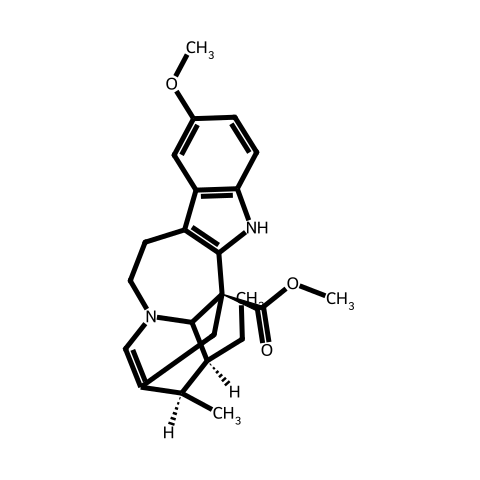 CC[C@@H]1C2N3C=C(C[C@@]2(C(=O)OC)c2[nH]c4ccc(OC)cc4c2CC3)[C@@H]1C